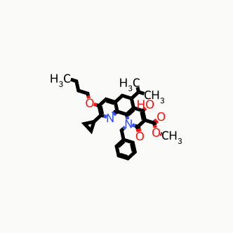 CCCCOc1cc2c(nc1C1CC1)-c1c(c(O)c(C(=O)OC)c(=O)n1Cc1ccccc1)C(C(C)C)C2